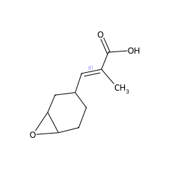 C/C(=C\C1CCC2OC2C1)C(=O)O